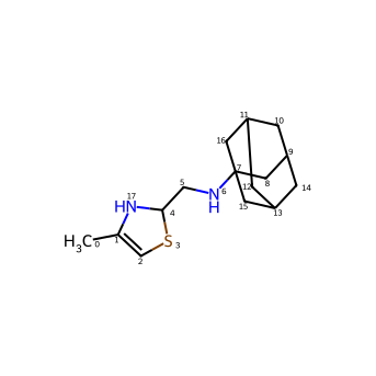 CC1=CSC(CNC23CC4CC(CC(C4)C2)C3)N1